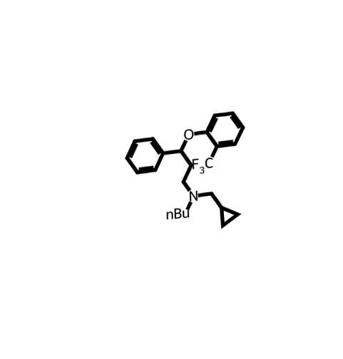 CCCCN(CCC(Oc1ccccc1C(F)(F)F)c1ccccc1)CC1CC1